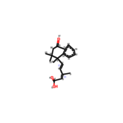 CC(=C/C(=O)O)/C=C/C1(C)c2ccccc2C(=O)CC1(C)C